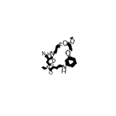 CCN1C(=O)C(CCNc2cccc(OCC(=O)OC)c2)SC1CC(C#N)C(=O)NCCF